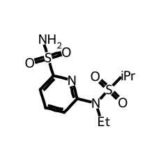 CCN(c1cccc(S(N)(=O)=O)n1)S(=O)(=O)C(C)C